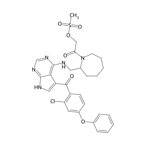 CS(=O)(=O)OCC(=O)N1CCCCCC1CNc1ncnc2[nH]cc(C(=O)c3ccc(Oc4ccccc4)cc3Cl)c12